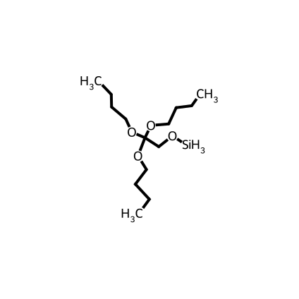 CCCCOC(CO[SiH3])(OCCCC)OCCCC